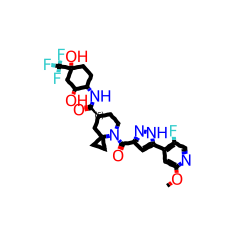 COc1cc(-c2cc(C(=O)N3CC[C@H](C(=O)NC4CCC(O)(C(F)(F)F)CC4O)CC34CC4)n[nH]2)c(F)cn1